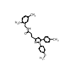 COc1ccc(-n2nc(CCC(=O)NCc3cc(C)ccc3C)cc2-c2ccc(C)cc2)cc1